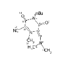 CCCCN1C(=O)C(=CN(C)C)C(C)=C(C#N)C1=O